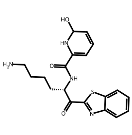 NCCCC[C@H](NC(=O)C1=CC=CC(O)N1)C(=O)c1nc2ccccc2s1